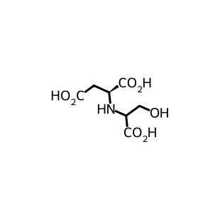 O=C(O)C[C@H](NC(CO)C(=O)O)C(=O)O